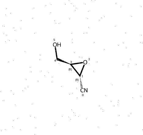 N#C[C@H]1O[C@@H]1CO